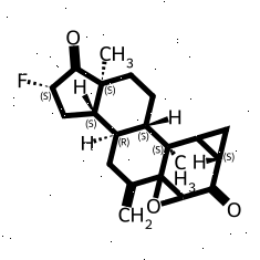 C=C1C[C@H]2[C@@H]3C[C@H](F)C(=O)[C@@]3(C)CC[C@@H]2[C@@]2(C)C3C[C@@H]3C(=O)C3OC132